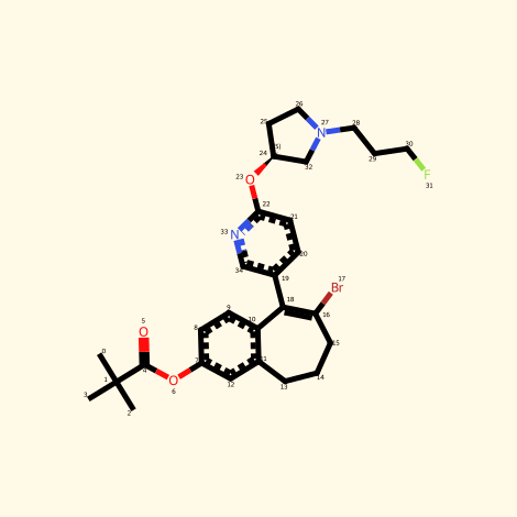 CC(C)(C)C(=O)Oc1ccc2c(c1)CCCC(Br)=C2c1ccc(O[C@H]2CCN(CCCF)C2)nc1